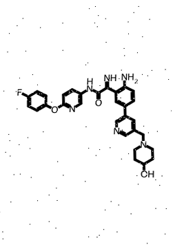 N=C(C(=O)Nc1ccc(Oc2ccc(F)cc2)nc1)c1cc(-c2cncc(CN3CCC(O)CC3)c2)ccc1N